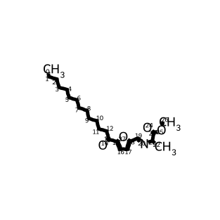 CCCCCCCCCCCCCC(=O)c1ccc(/C=N/C(C)C(=O)OC)o1